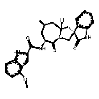 COc1cccc2[nH]c(C(=O)N[C@H]3CC(C)C[C@@H]4C[C@@]5(CN4C3=O)C(=O)Nc3ccccc35)cc12